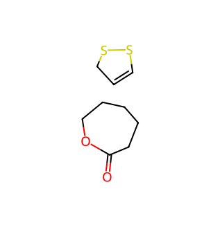 C1=CSSC1.O=C1CCCCCO1